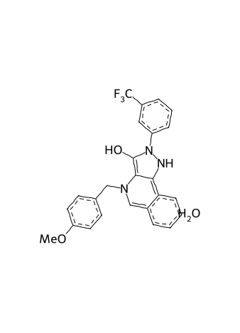 COc1ccc(CN2C=c3ccccc3=C3NN(c4cccc(C(F)(F)F)c4)C(O)=C32)cc1.O